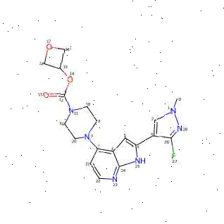 Cn1cc(-c2cc3c(N4CCN(C(=O)OC5COC5)CC4)ccnc3[nH]2)c(F)n1